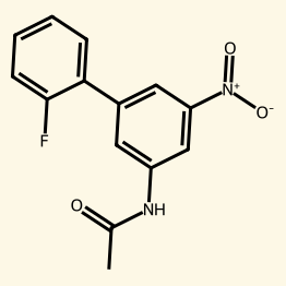 CC(=O)Nc1cc(-c2ccccc2F)cc([N+](=O)[O-])c1